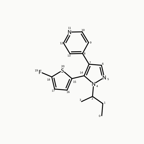 CCC(C)n1ncc(-c2ccncc2)c1-c1ccc(F)s1